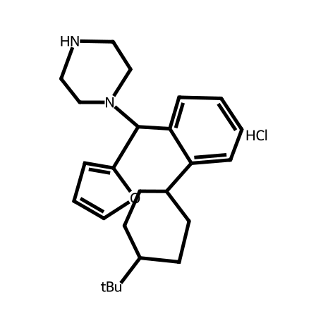 CC(C)(C)C1CCC(c2ccccc2C(c2ccco2)N2CCNCC2)CC1.Cl